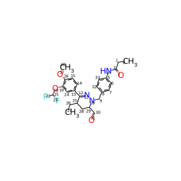 CCC(=O)Nc1ccc(CN2N=C(c3ccc(OC)c(OC(F)F)c3)C(CC)CC2C=O)cc1